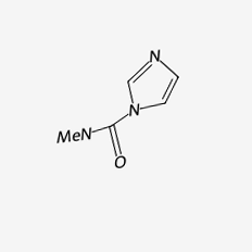 [CH2]NC(=O)n1ccnc1